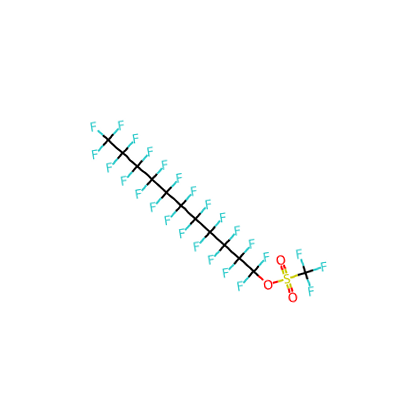 O=S(=O)(OC(F)(F)C(F)(F)C(F)(F)C(F)(F)C(F)(F)C(F)(F)C(F)(F)C(F)(F)C(F)(F)C(F)(F)C(F)(F)F)C(F)(F)F